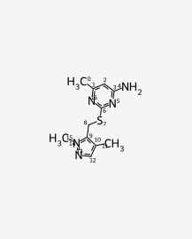 Cc1cc(N)nc(SCc2c(C)cnn2C)n1